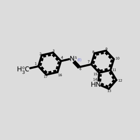 Cc1ccc(/N=C/c2cccc3cc[nH]c23)cc1